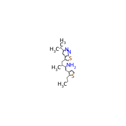 CCCc1sccc1C=C(N)C(C)Cc1csc2nnc(C(C)C)cc12